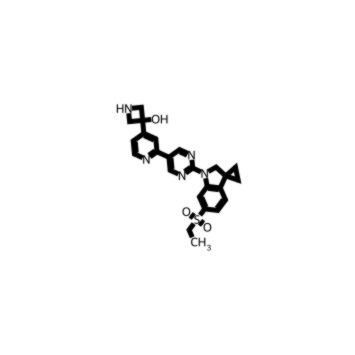 CCS(=O)(=O)c1ccc2c(c1)N(c1ncc(-c3cc(C4(O)CNC4)ccn3)cn1)CC21CC1